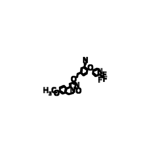 COc1ccc2c(c1)CCn1c-2cc(OCCc2ccc(Oc3ccc(C(F)(F)F)nc3)c(C#N)c2)nc1=O